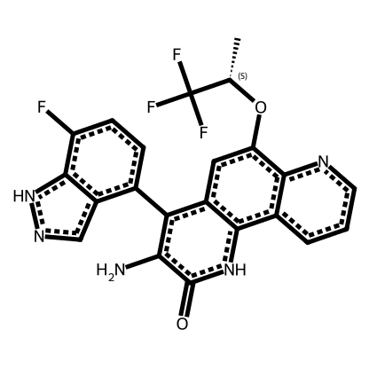 C[C@H](Oc1cc2c(-c3ccc(F)c4[nH]ncc34)c(N)c(=O)[nH]c2c2cccnc12)C(F)(F)F